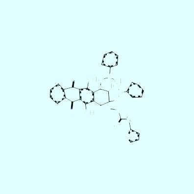 O=C(Nc1cccs1)OC[C@]1(OB(O)c2ccccc2)Cc2c(O)c3c(c(O)c2[C@@H](OB(O)c2ccccc2)C1)C(=O)c1ccccc1C3=O